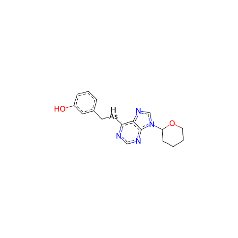 Oc1cccc(C[AsH]c2ncnc3c2ncn3C2CCCCO2)c1